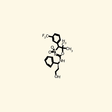 CC1(C)OC(N[C@@H](CCO)c2ccccc2)=NS(=O)(=O)C1c1cccc(C(F)(F)F)c1